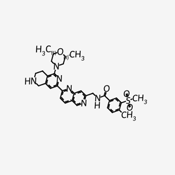 Cc1ccc(C(=O)NCc2cc3nc(-c4cc5c(c(N6C[C@@H](C)O[C@@H](C)C6)n4)CCNC5)ccc3cn2)cc1S(C)(=O)=O